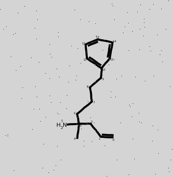 C=CCC(C)(N)CCCCc1ccccc1